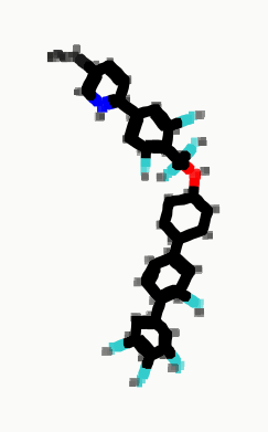 CCCCCc1ccc(-c2cc(F)c(C(F)(F)OC3CCC(c4ccc(-c5cc(F)c(F)c(F)c5)c(F)c4)CC3)c(F)c2)nc1